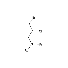 CC(=O)N(CC(O)CBr)C(C)C